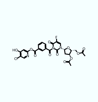 CC(=O)OC[C@H]1O[C@@H](n2cc(F)c(=O)n(C(=O)c3cccc(C(=O)Oc4cc(O)c(Cl)cn4)c3)c2=O)C[C@@H]1OC(C)=O